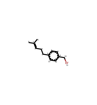 CC(C)=CCCc1ccc(CBr)cc1